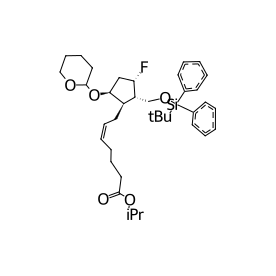 CC(C)OC(=O)CCC/C=C\C[C@@H]1[C@@H](CO[Si](c2ccccc2)(c2ccccc2)C(C)(C)C)[C@@H](F)C[C@@H]1OC1CCCCO1